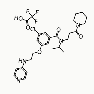 CC(C)N(CCC(=O)N1CCCCC1)C(=O)c1cc(Cl)cc(OCCNc2ccncc2)c1.O=C(O)C(F)(F)F